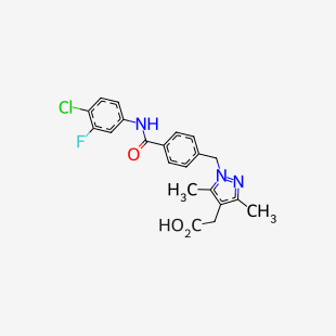 Cc1nn(Cc2ccc(C(=O)Nc3ccc(Cl)c(F)c3)cc2)c(C)c1CC(=O)O